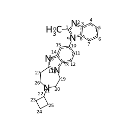 Cc1nc2ccccc2n1-c1ccc2c(c1)nc1n2CCN(C2CCC2)CC1